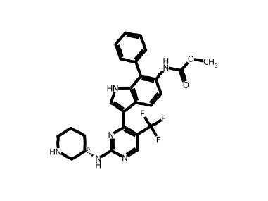 COC(=O)Nc1ccc2c(-c3nc(N[C@H]4CCCNC4)ncc3C(F)(F)F)c[nH]c2c1-c1ccccc1